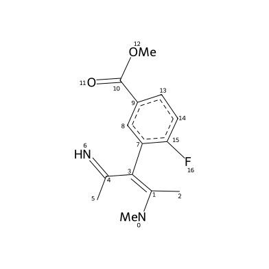 CN/C(C)=C(\C(C)=N)c1cc(C(=O)OC)ccc1F